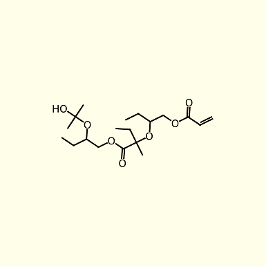 C=CC(=O)OCC(CC)OC(C)(CC)C(=O)OCC(CC)OC(C)(C)O